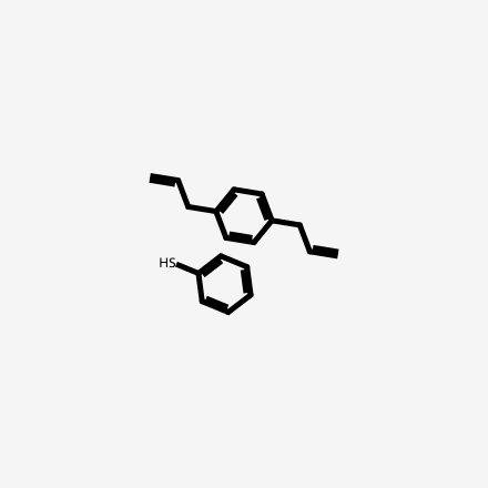 C=CCc1ccc(CC=C)cc1.Sc1ccccc1